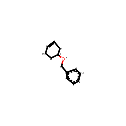 [C]1=CCC(OCc2ccccc2)CC1